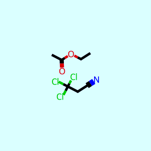 CCOC(C)=O.N#CCC(Cl)(Cl)Cl